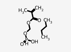 C=C(C)C(=O)OCO[PH](=O)O.CCCC